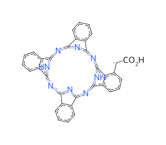 O=C(O)[CH]c1cccc2c3nc4nc(nc5[nH]c(nc6nc(nc([nH]3)c12)-c1ccccc1-6)c1ccccc51)-c1ccccc1-4